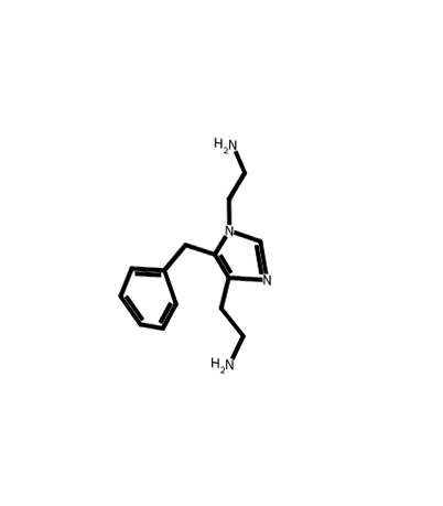 NCCc1ncn(CCN)c1Cc1ccccc1